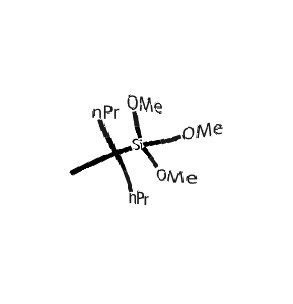 CCCC(C)(CCC)[Si](OC)(OC)OC